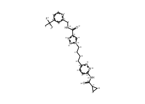 CC(F)(F)c1ccnc(CNC(=O)c2cn(CCCCc3ccc(NC(=O)C4CC4)nn3)nn2)c1